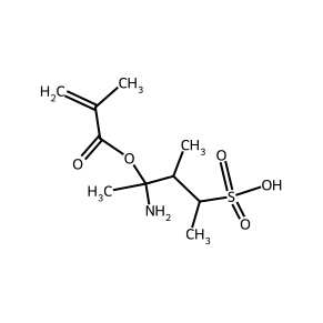 C=C(C)C(=O)OC(C)(N)C(C)C(C)S(=O)(=O)O